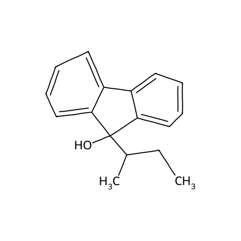 CCC(C)C1(O)c2ccccc2-c2ccccc21